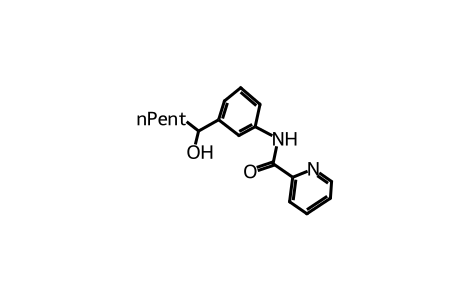 CCCCCC(O)c1cccc(NC(=O)c2ccccn2)c1